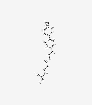 C=CC(=O)OCCOCCOc1ccc(-c2ccc(C#N)cc2)cc1